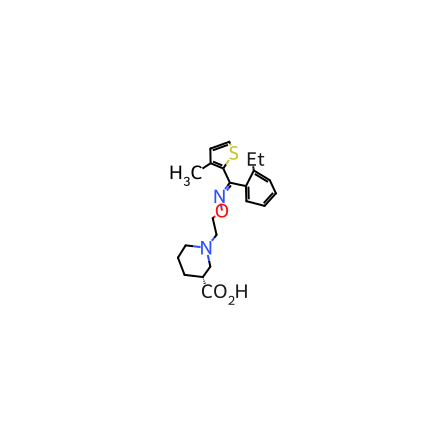 CCc1ccccc1/C(=N\OCCN1CCC[C@@H](C(=O)O)C1)c1sccc1C